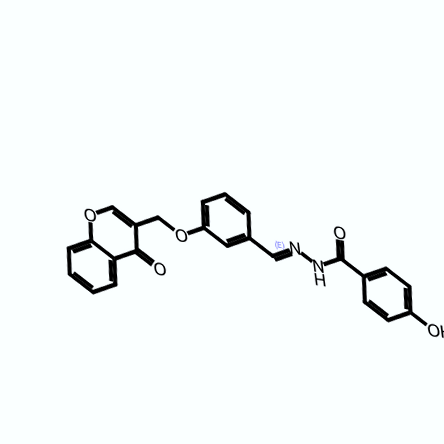 O=C(N/N=C/c1cccc(OCc2coc3ccccc3c2=O)c1)c1ccc(O)cc1